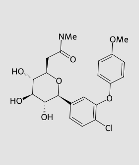 CNC(=O)C[C@H]1O[C@@H](c2ccc(Cl)c(Oc3ccc(OC)cc3)c2)[C@H](O)[C@@H](O)[C@@H]1O